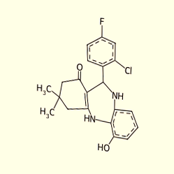 CC1(C)CC(=O)C2=C(C1)Nc1c(O)cccc1NC2c1ccc(F)cc1Cl